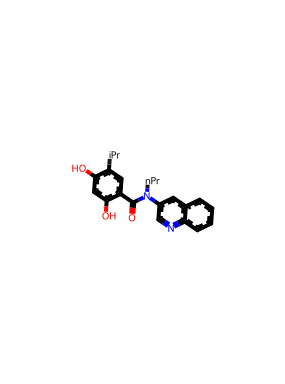 CCCN(C(=O)c1cc(C(C)C)c(O)cc1O)c1cnc2ccccc2c1